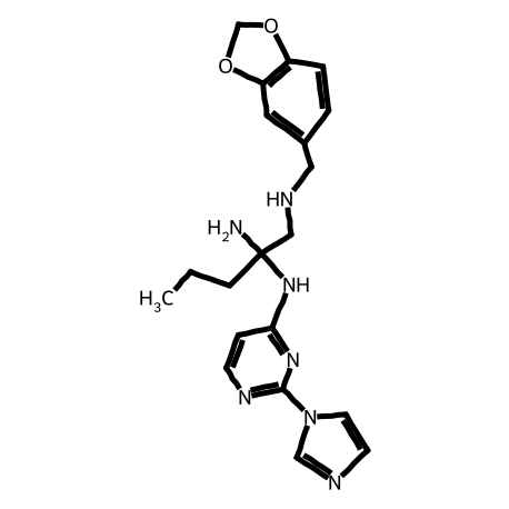 CCCC(N)(CNCc1ccc2c(c1)OCO2)Nc1ccnc(-n2ccnc2)n1